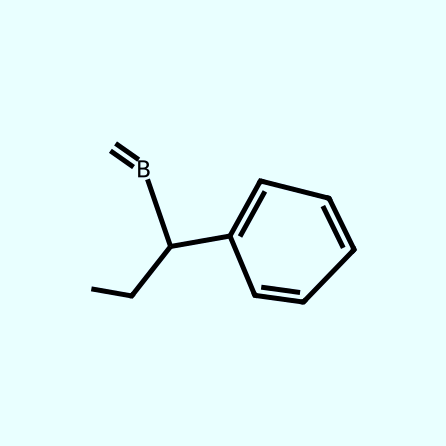 C=BC(CC)c1ccccc1